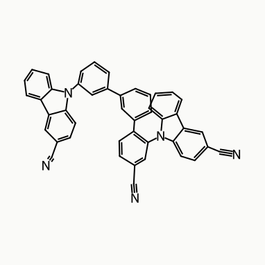 N#Cc1ccc(-c2cccc(-c3cccc(-n4c5ccccc5c5cc(C#N)ccc54)c3)c2)c(-n2c3ccccc3c3cc(C#N)ccc32)c1